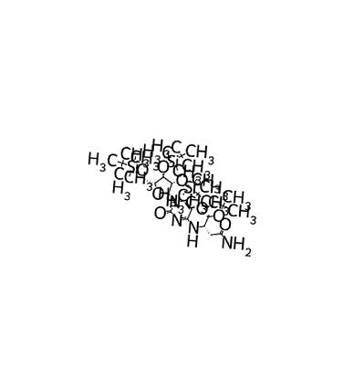 CC(C)(C)OC(=O)[C@H](CC(N)=O)Nc1ccn([C@@H]2O[C@H](CO[Si](C)(C)C(C)(C)C)[C@@H](O[Si](C)(C)C(C)(C)C)[C@@H]2O[Si](C)(C)C(C)(C)C)c(=O)n1